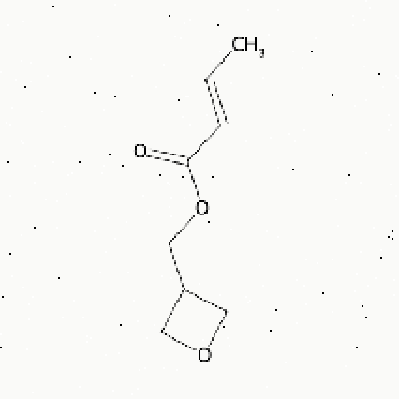 CC=CC(=O)OCC1COC1